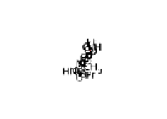 CCC(=O)NS(=O)(=O)c1ccc(Oc2ncnc(OC3CCNCC3C(=O)OC(C)C)c2C)c(F)c1